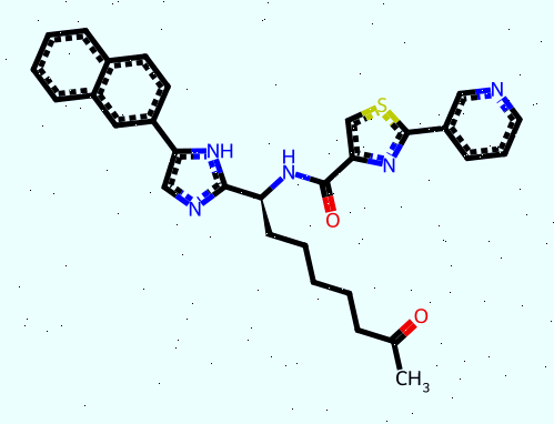 CC(=O)CCCCC[C@H](NC(=O)c1csc(-c2cccnc2)n1)c1ncc(-c2ccc3ccccc3c2)[nH]1